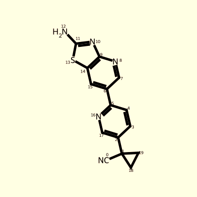 N#CC1(c2ccc(-c3cnc4nc(N)sc4c3)nc2)CC1